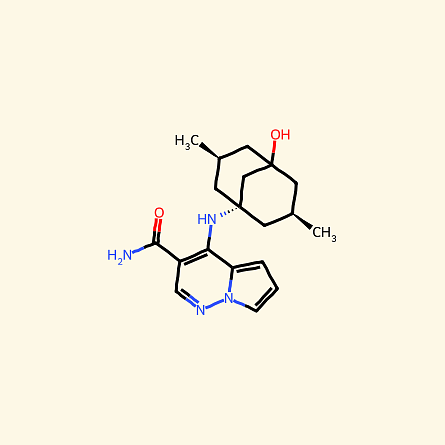 C[C@@H]1CC2(O)C[C@H](C)C[C@](Nc3c(C(N)=O)cnn4cccc34)(C1)C2